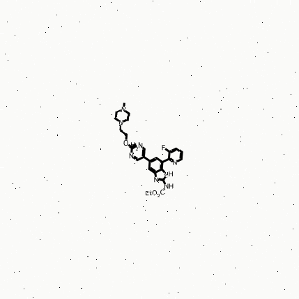 C=C(/N=C\C(=C/N)c1cc(-c2ncccc2F)c2[nH]c(NC(=O)OCC)nc2c1)OCCN1CCN(C)CC1